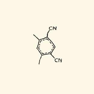 Cc1cc(C)c(C#N)cc1C#N